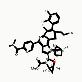 COC(=O)N1[C@@H](c2cc3c(-c4ccc(C(=O)N(C)C)nc4)nc4c(F)c(-c5cccc(Cl)c5Cl)c(CCC#N)cc4c3n2[C@H]2[C@H]3CN[C@@H]2C3)C[C@H]2C[C@H]21